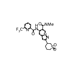 CNC(=O)c1cn2nc(C3CCCS(=O)(=O)C3)cc2cc1NC(=O)c1cccc(C(F)(F)F)n1